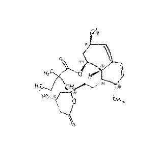 CCC(C)(C)C(=O)O[C@H]1C[C@@H](C)C=C2C=C[C@H](C)[C@H](CC[C@@H]3C[C@@H](O)CC(=O)O3)[C@@H]21